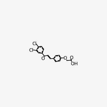 O=C(O)COc1ccc(C=CC(=O)c2ccc(Cl)c(Cl)c2)cc1